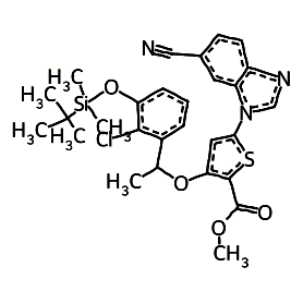 COC(=O)c1sc(-n2cnc3ccc(C#N)cc32)cc1OC(C)c1cccc(O[Si](C)(C)C(C)(C)C)c1Cl